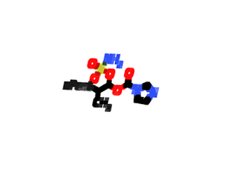 CCCCCC(C)C(OC(=O)n1ccnc1)OS(N)(=O)=O